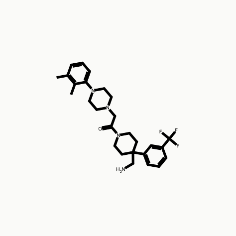 Cc1cccc(N2CCN(CC(=O)N3CCC(CN)(c4cccc(C(F)(F)F)c4)CC3)CC2)c1C